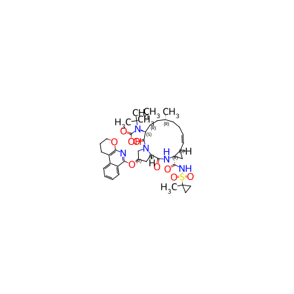 CC[C@@H]1C[C@H](C)CCC=C[C@@H]2C[C@@]2(C(=O)NS(=O)(=O)C2(C)CC2)NC(=O)[C@@H]2C[C@@H](Oc3nc4c(c5ccccc35)CCCO4)CN2C(=O)[C@H]1N(C(=O)O)C(C)(C)C